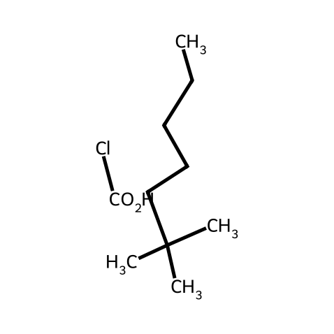 CCCCCC(C)(C)C.O=C(O)Cl